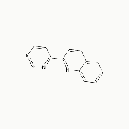 c1ccc2nc(-c3ccnnn3)ccc2c1